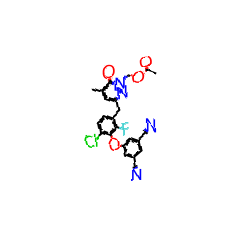 CC(=O)OCn1nc(Cc2ccc(Cl)c(Oc3cc(C#N)cc(C#N)c3)c2F)cc(C)c1=O